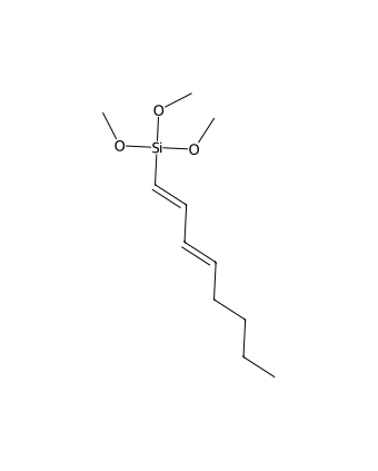 CCCCC=CC=C[Si](OC)(OC)OC